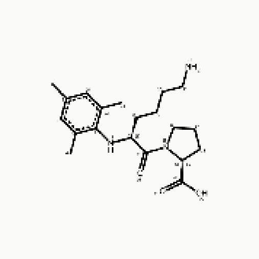 Cc1cc(C)c(N[C@@H](CCCCN)C(=O)N2CCC[C@H]2C(=O)O)c(C)c1